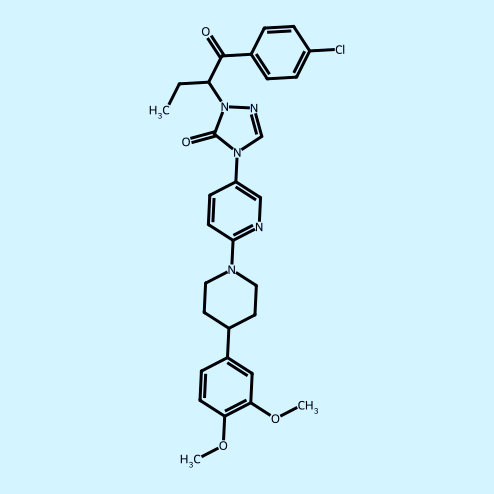 CCC(C(=O)c1ccc(Cl)cc1)n1ncn(-c2ccc(N3CCC(c4ccc(OC)c(OC)c4)CC3)nc2)c1=O